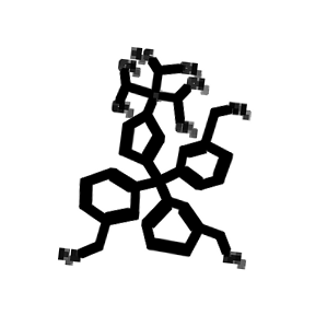 CC(C)[Si]([C]1C=CC(C(c2cccc(CN)c2)(c2cccc(CN)c2)c2cccc(CN)c2)=C1)(C(C)C)C(C)C